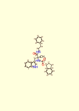 C[C@](Cc1c[nH]c2ccccc12)(NC(=O)O[C@@H]1CCc2ccccc21)C(=O)NCCc1ccccc1